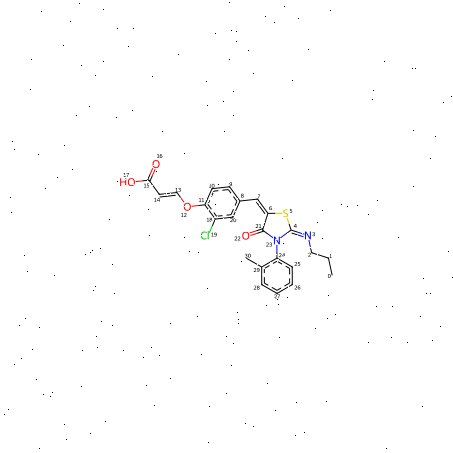 CCCN=C1SC(=Cc2ccc(OC=CC(=O)O)c(Cl)c2)C(=O)N1c1ccccc1C